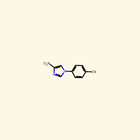 N#Cc1ccc(-n2cnc([N+](=O)[O-])c2)cc1